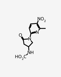 Cc1nc(N2CC(NC(=O)O)CC2=O)ccc1[N+](=O)[O-]